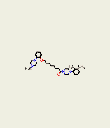 Cc1cccc(N2CCN(C(=O)CCCCCCCOc3ccccc3N3CCN(C)CC3)CC2)c1C